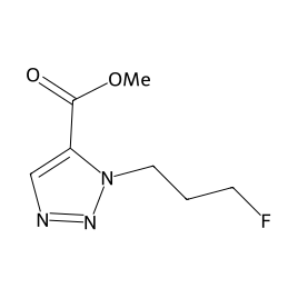 COC(=O)c1cnnn1CCCF